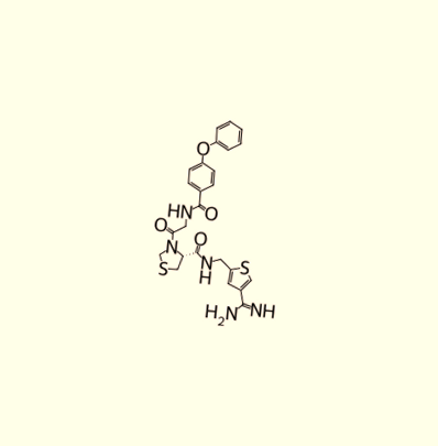 N=C(N)c1csc(CNC(=O)[C@@H]2CSCN2C(=O)CNC(=O)c2ccc(Oc3ccccc3)cc2)c1